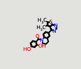 Cc1sc2ncnc(-c3ccc4c(c3)CCCN4C(=O)c3ccc(O)cc3O)c2c1C